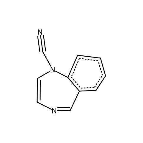 N#CN1C=CN=Cc2ccccc21